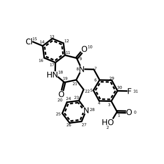 O=C(O)c1ccc(CN2C(=O)c3ccc(Cl)cc3NC(=O)C2Cc2ccccn2)cc1F